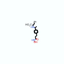 CC(C)C[C@H](NC(C)c1ccc(CCC(=O)NO)cc1)C(=O)O